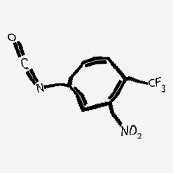 O=C=Nc1ccc(C(F)(F)F)c([N+](=O)[O-])c1